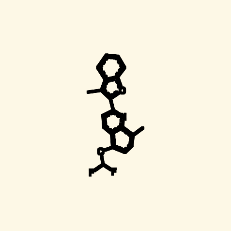 Cc1c(-c2ccc3c(OC(F)F)ccc(C)c3n2)oc2ccccc12